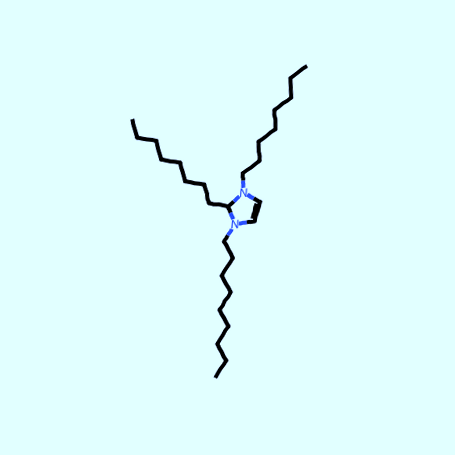 CCCCCCCCCN1C=CN(CCCCCCCC)C1CCCCCCCC